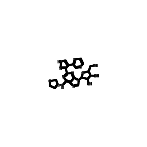 OCC1OC(n2cnc3c(N[C@@H]4CCOC4)nc(-c4n[nH]cc4-c4cnccn4)nc32)C(O)C1O